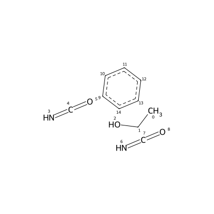 CCO.N=C=O.N=C=O.c1ccccc1